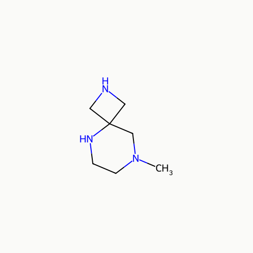 CN1CCNC2(CNC2)C1